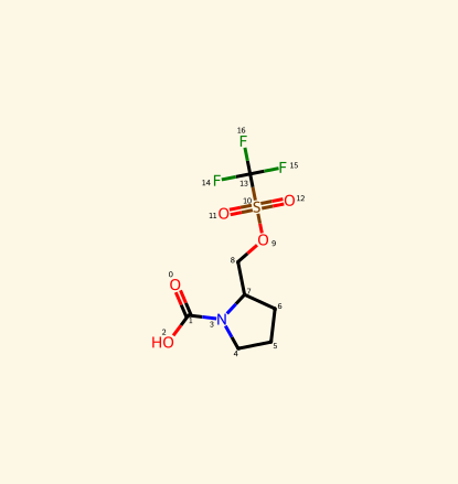 O=C(O)N1CCCC1COS(=O)(=O)C(F)(F)F